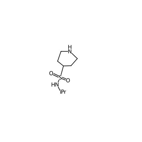 CC(C)NS(=O)(=O)C1CCNCC1